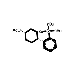 CCC[CH2][Sn]([CH2]CCC)([CH2]CCC)[c]1ccccc1[C@H]1CC[C@@H](OC(C)=O)CC1